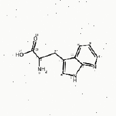 NC(Cc1c[nH]c2ncccc12)C(=O)O